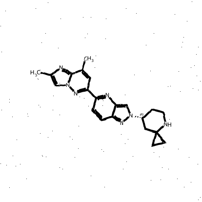 Cc1cn2nc(-c3ccc4nn([C@@H]5CCNC6(CC6)C5)cc4n3)cc(C)c2n1